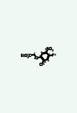 CCOC(=O)COc1cc([N+](=O)[O-])c(F)cc1Cl